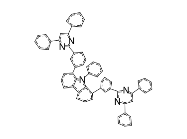 c1ccc(-c2cc(-c3ccccc3)nc(-c3cccc(-c4cccc5c6cccc(-c7cccc(-c8nc(-c9ccccc9)cc(-c9ccccc9)n8)c7)c6n(-c6ccccc6)c45)c3)n2)cc1